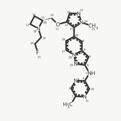 Cc1cnc(Nc2cc3cc(-c4c(OC[C@H]5CCN5CCF)cnn4C)ccn3n2)cn1